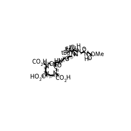 COC(=O)CNC(=O)CNc1cc([Si](F)(C(C)(C)C)C(C)(C)C)n(CCOCCNC(=O)CN2CCN(CC(=O)O)CCN(CC(=O)O)CCN(CC(=O)O)CC2)n1